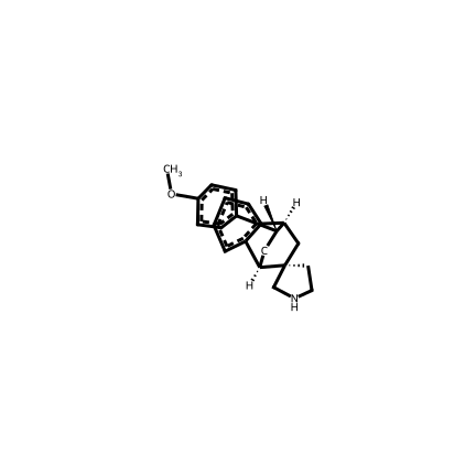 COc1ccc([C@H]2C[C@@H]3c4ccccc4[C@H]2C[C@]32CCNC2)cc1